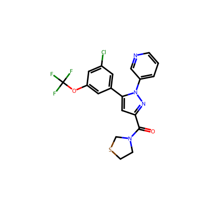 O=C(c1cc(-c2cc(Cl)cc(OC(F)(F)F)c2)n(-c2cccnc2)n1)N1CCSC1